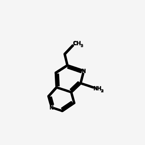 CCc1cc2cnccc2c(N)n1